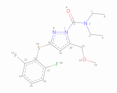 CCN(CC)C(=O)n1nc(Sc2c(F)cccc2F)cc1COC